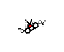 CCOc1ccc2c(c1)C1(NC(=S)N(C)C1=O)C1(CCC(OC(F)F)CC1)C2